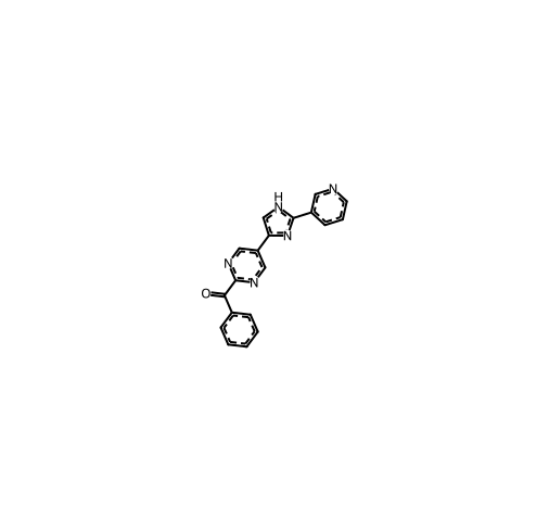 O=C(c1ccccc1)c1ncc(-c2c[nH]c(-c3cccnc3)n2)cn1